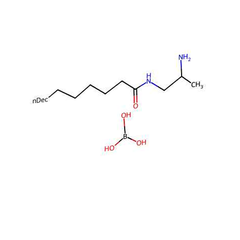 CCCCCCCCCCCCCCCC(=O)NCC(C)N.OB(O)O